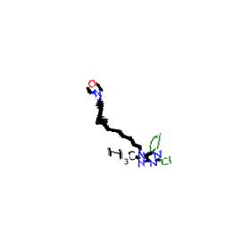 Cc1nc2nc(Cl)nc(Cl)c2n1CCCCCCCCCCN1CCOCC1